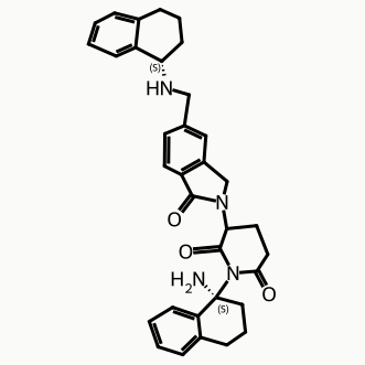 N[C@]1(N2C(=O)CCC(N3Cc4cc(CN[C@H]5CCCc6ccccc65)ccc4C3=O)C2=O)CCCc2ccccc21